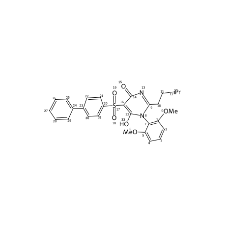 COc1cccc(OC)c1-n1c(CCC(C)C)nc(=O)c(S(=O)(=O)c2ccc(-c3ccccc3)cc2)c1O